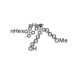 CCCCCCc1ccc(C2(c3ccc(CCCCCC)cc3)c3cc(C)ccc3-c3ccc(-c4ccc5c(c4)C(c4ccc(OCCOCCOCCOC)cc4)(c4ccc(COCCOCCOCCO)c(C)c4)c4cc(C)ccc4-5)cc32)cc1